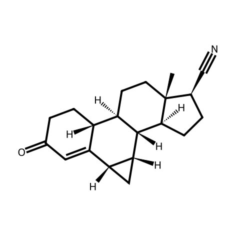 C[C@]12CC[C@H]3[C@@H]([C@@H]4C[C@@H]4C4=CC(=O)CC[C@@H]43)[C@@H]1CC[C@@H]2C#N